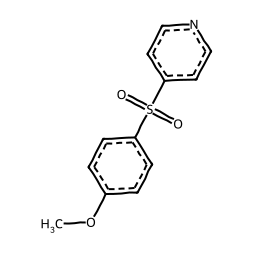 COc1ccc(S(=O)(=O)c2ccncc2)cc1